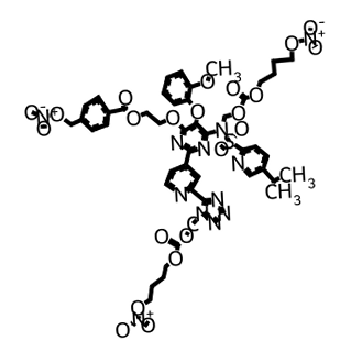 COc1ccccc1Oc1c(OCCOC(=O)c2ccc(CO[N+](=O)[O-])cc2)nc(-c2ccnc(-c3nnnn3COC(=O)OCCCCO[N+](=O)[O-])c2)nc1N(COC(=O)OCCCCO[N+](=O)[O-])S(=O)(=O)c1ccc(C(C)C)cn1